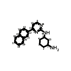 NC1CCCC(Nc2nccc(-c3ccc4ccccc4c3)n2)C1